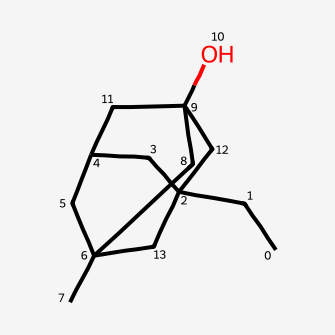 CCC12CC3CC(C)(CC(O)(C3)C1)C2